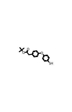 CC(C)(C)OC(=O)Cc1ccc(Oc2ccc(S)cc2)cc1